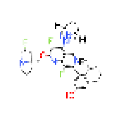 CCC1CCCc2cc(O)cc(-c3ncc4c(N5C[C@H]6CC[C@@H](C5)N6)c(F)c(OC[C@@]56CCCN5C[C@H](F)C6)nc4c3F)c21